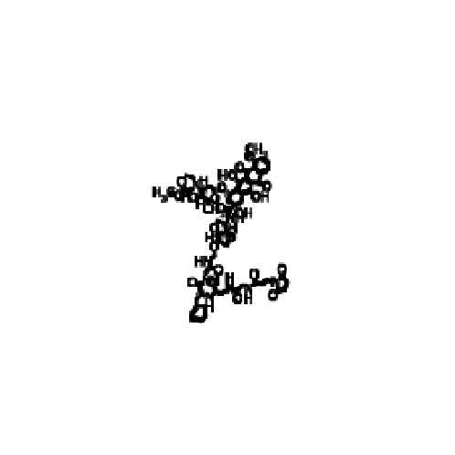 COc1cccc2c1C(=O)c1c(O)c3c(c(O)c1C2=O)C[C@@](O)(C(=O)N[C@H]1CO[C@H]2[C@@H]1OC[C@H]2OCNC(=O)CNC(=O)[C@H](Cc1ccccc1)NC(=O)CNC(=O)CNC(=O)CCN1C(=O)C=CC1=O)C[C@@H]3O[C@H]1C[C@H]2[C@H](O[C@@H]3[C@@H](OC)OCCN32)[C@H](C)O1